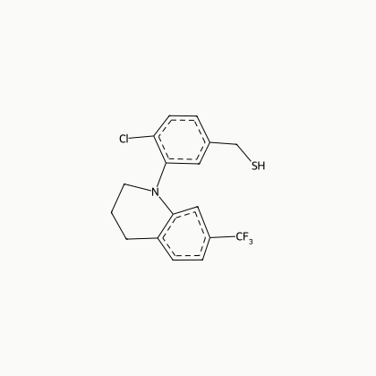 FC(F)(F)c1ccc2c(c1)N(c1cc(CS)ccc1Cl)CCC2